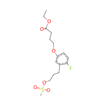 CCOC(=O)CCCOc1ccc(F)c(CCCOS(C)(=O)=O)c1